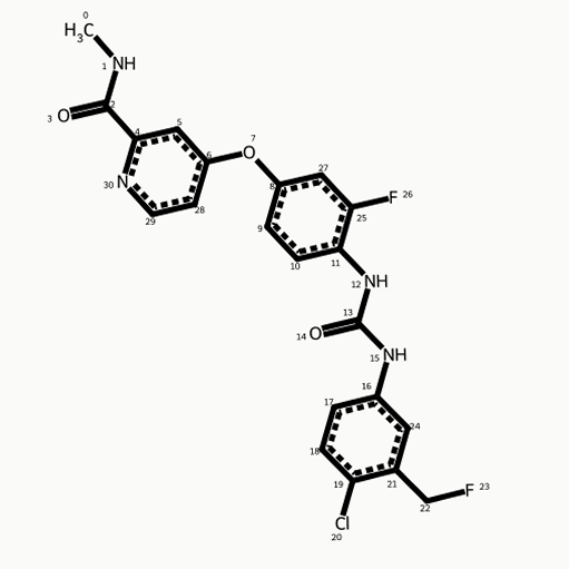 CNC(=O)c1cc(Oc2ccc(NC(=O)Nc3ccc(Cl)c(CF)c3)c(F)c2)ccn1